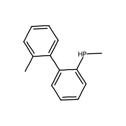 CPc1ccccc1-c1ccccc1C